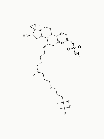 CN(CCCCC[C@@H]1Cc2cc(OS(N)(=O)=O)ccc2C2CC[C@@]3(C)C(C[C@@H](O)C34CC4)C21)CCCSCCCC(F)(F)C(F)(F)F